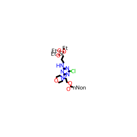 CCCCCCCCCC(=O)OCC[N+]1(c2nc(Cl)nc(NCCC[Si](OCC)(OCC)OCC)n2)CCOCC1